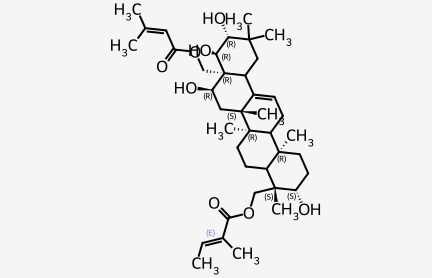 C/C=C(\C)C(=O)OC[C@]1(C)C2CC[C@]3(C)C(CC=C4C5CC(C)(C)[C@@H](O)[C@H](O)[C@]5(COC(=O)C=C(C)C)[C@H](O)C[C@]43C)[C@@]2(C)CC[C@@H]1O